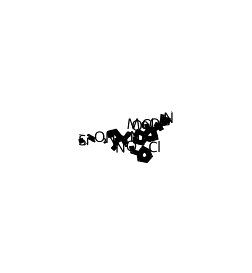 COC(C)(c1cc(Cl)c2c(c1Cl)C(=O)N(Cc1c(OCc3ccccc3)nc(C)c3c1ccn3COCC[Si](C)(C)C)CC2)C1CN(C)C1